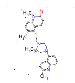 Cc1ccc2c(N3CCN(CCc4c(C)ccc5c4ccc(=O)n5C)[C@@H](C)C3)cccc2n1